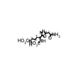 NC(=O)Cc1nnc([C@H](CCCNC(=O)O)NC(=O)O)o1